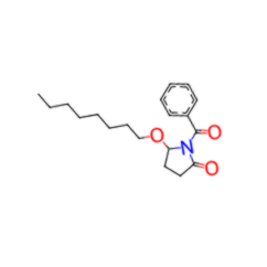 CCCCCCCCOC1CCC(=O)N1C(=O)c1ccccc1